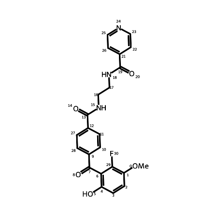 COc1ccc(O)c(C(=O)c2ccc(C(=O)NCCNC(=O)c3ccncc3)cc2)c1F